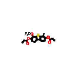 C=CC(=O)Oc1ccc2c(sc3c(OC(F)(F)F)c(OC(=O)C=C)ccc32)c1C